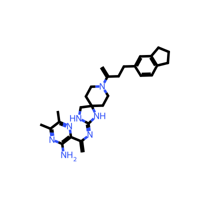 C=C(/N=C1\NCC2(CCN(C(=C)CCc3ccc4c(c3)CCC4)CC2)N1)c1nc(C)c(C)nc1N